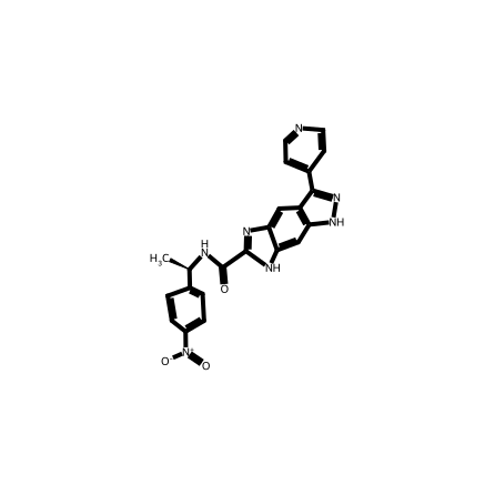 C[C@@H](NC(=O)c1nc2cc3c(-c4ccncc4)n[nH]c3cc2[nH]1)c1ccc([N+](=O)[O-])cc1